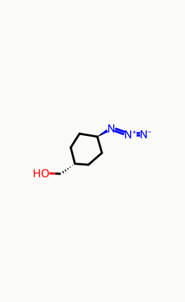 [N-]=[N+]=N[C@H]1CC[C@H](CO)CC1